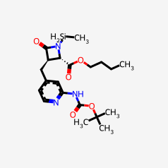 CCCCOC(=O)[C@@H]1[C@@H](Cc2ccnc(NC(=O)OC(C)(C)C)c2)C(=O)N1[SiH2]C